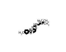 Cc1ccc(S(=O)(=O)n2ccc3nc(NCC(=O)OC(C)(C)C)cnc32)cc1